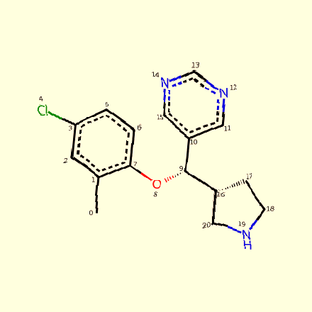 Cc1cc(Cl)ccc1O[C@H](c1cncnc1)[C@@H]1CCNC1